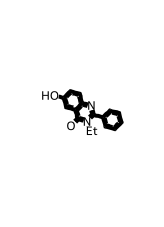 CCn1c(-c2ccccc2)nc2ccc(O)cc2c1=O